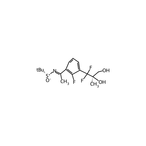 C/C(=N\[S@+]([O-])C(C)(C)C)c1cccc(C(F)(F)[C@](C)(O)CO)c1F